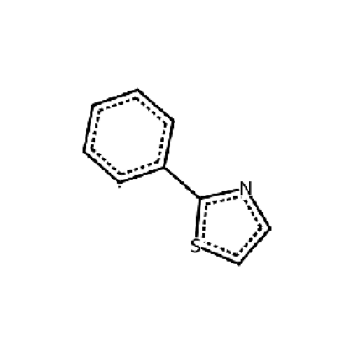 [c]1ccccc1-c1nccs1